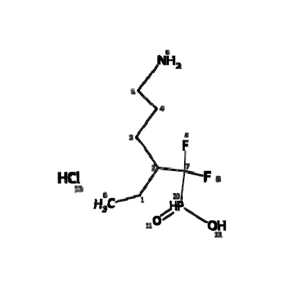 CCC(CCCN)C(F)(F)[PH](=O)O.Cl